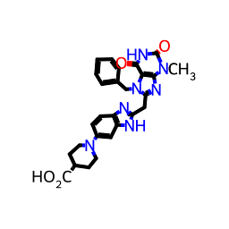 Cn1c(=O)[nH]c(=O)c2c1nc(Cc1nc3ccc(N4CCC(C(=O)O)CC4)cc3[nH]1)n2Cc1ccccc1